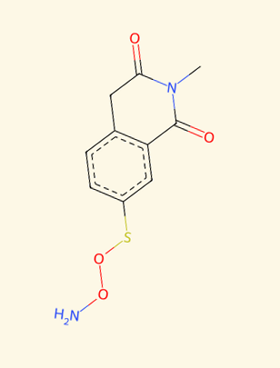 CN1C(=O)Cc2ccc(SOON)cc2C1=O